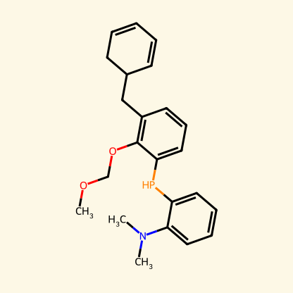 COCOc1c(CC2C=CC=CC2)cccc1Pc1ccccc1N(C)C